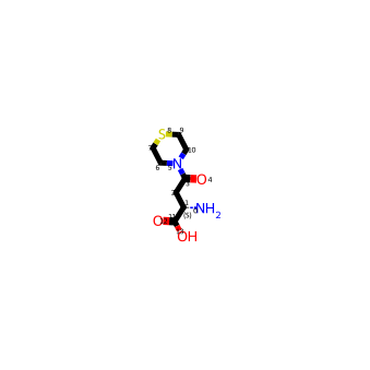 N[C@@H](CC(=O)N1CCSCC1)C(=O)O